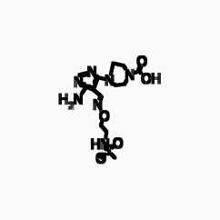 CS(=O)(=O)NCCON=Cc1c(N)ncnc1N1CCN(C(=O)O)CC1